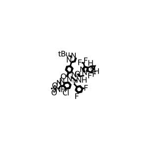 Cn1nc(NS(C)(=O)=O)c2c(Cl)ccc(-n3c([C@H](Cc4cc(F)cc(F)c4)NC(=O)Cn4nc(C(F)F)c5c4C(F)(F)[C@@H]4C[C@H]54)nc4cc(-c5ccnc(C(C)(C)C)n5)ccc4c3=O)c21